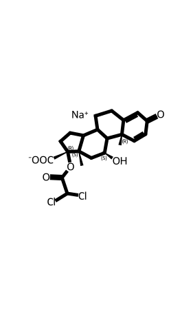 C[C@]12C=CC(=O)C=C1CCC1C2[C@@H](O)C[C@@]2(C)C1CC[C@]2(OC(=O)C(Cl)Cl)C(=O)[O-].[Na+]